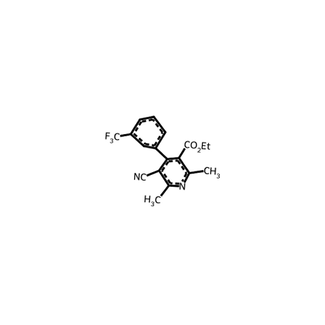 CCOC(=O)c1c(C)nc(C)c(C#N)c1-c1cccc(C(F)(F)F)c1